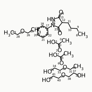 CC(=O)O.CC(=O)O.CCCCC1C(=O)NN(c2ccccc2)C1=O.CCOCC.CCOCCO.OCCOCCO